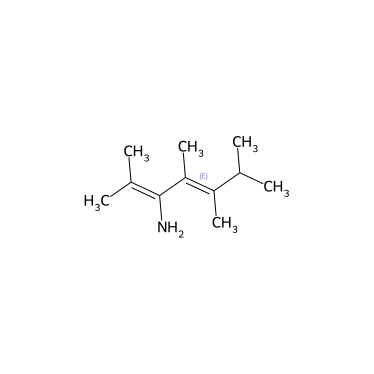 CC(C)=C(N)/C(C)=C(\C)C(C)C